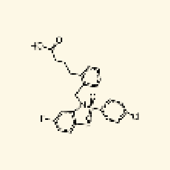 O=C(O)CCCc1ccccc1CN(c1cc(F)ccc1F)S(=O)(=O)c1ccc(Cl)cc1